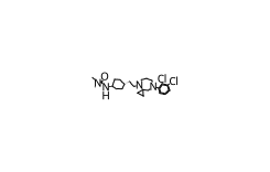 CN(C)C(=O)N[C@H]1CC[C@H](CCN2CCCN(c3cccc(Cl)c3Cl)CC23CC3)CC1